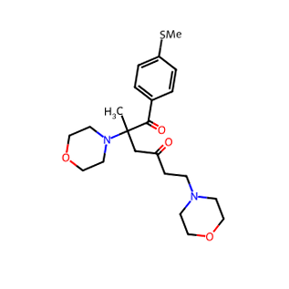 CSc1ccc(C(=O)C(C)(CC(=O)CCN2CCOCC2)N2CCOCC2)cc1